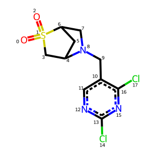 O=S1(=O)CC2CC1CN2Cc1cnc(Cl)nc1Cl